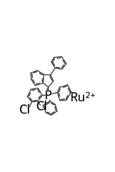 Clc1cccc(P(=C2C=C(c3ccccc3)c3ccccc32)(c2ccccc2)c2ccccc2)c1Cl.[Ru+2]